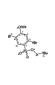 COc1cc(Br)c(S(=O)(=O)OCC(C)(C)C)cc1Br